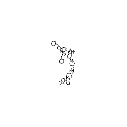 Cn1nc(-c2ccc(OCc3ccccc3)nc2OCc2ccccc2)c2ccc(N3CCC(CN4CC5(CCN(C(=O)OC(C)(C)C)CC5)C4)CC3)cc21